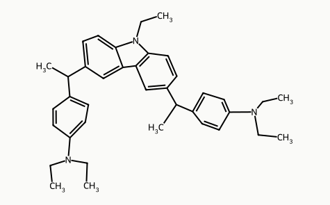 CCN(CC)c1ccc(C(C)c2ccc3c(c2)c2cc(C(C)c4ccc(N(CC)CC)cc4)ccc2n3CC)cc1